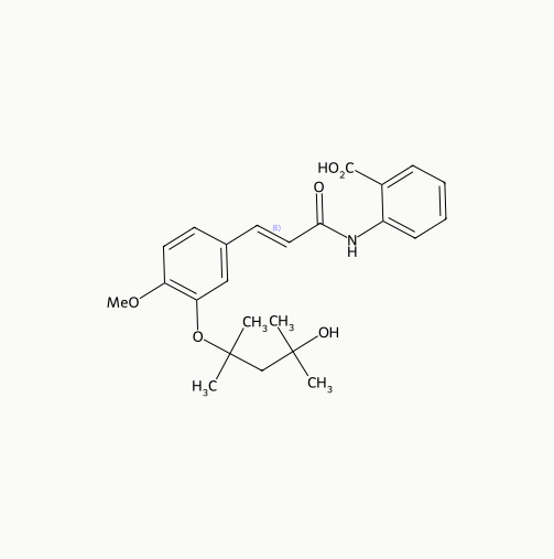 COc1ccc(/C=C/C(=O)Nc2ccccc2C(=O)O)cc1OC(C)(C)CC(C)(C)O